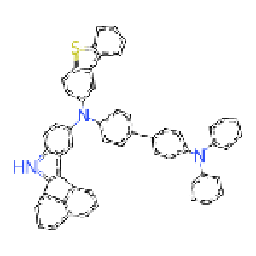 c1ccc(N(c2ccccc2)c2ccc(-c3ccc(N(c4ccc5[nH]c6c(c5c4)-c4cccc5cccc-6c45)c4ccc5sc6ccccc6c5c4)cc3)cc2)cc1